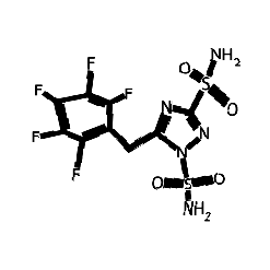 NS(=O)(=O)c1nc(Cc2c(F)c(F)c(F)c(F)c2F)n(S(N)(=O)=O)n1